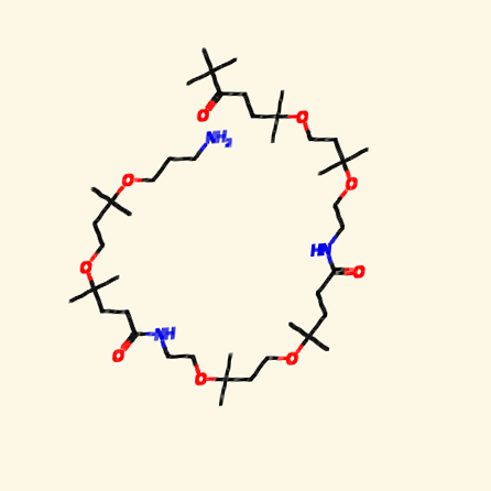 CC(C)(CCOC(C)(C)CCC(=O)NCCOC(C)(C)CCOC(C)(C)CCC(=O)NCCOC(C)(C)CCOC(C)(C)CCC(=O)C(C)(C)C)OCCCN